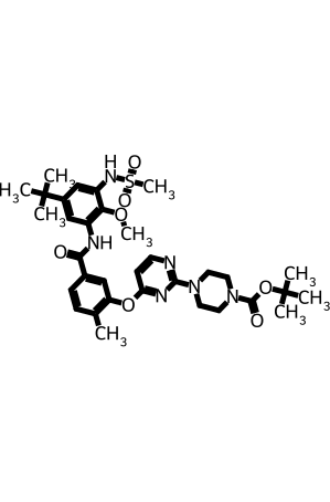 COc1c(NC(=O)c2ccc(C)c(Oc3ccnc(N4CCN(C(=O)OC(C)(C)C)CC4)n3)c2)cc(C(C)(C)C)cc1NS(C)(=O)=O